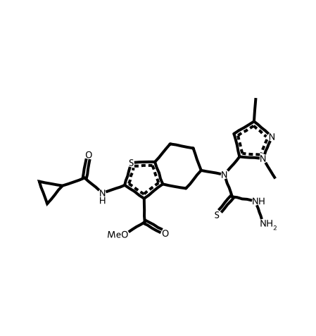 COC(=O)c1c(NC(=O)C2CC2)sc2c1CC(N(C(=S)NN)c1cc(C)nn1C)CC2